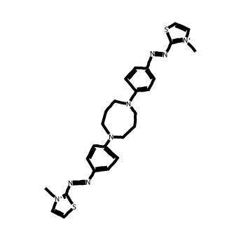 C[n+]1ccsc1/N=N/c1ccc(N2CCCN(c3ccc(/N=N/c4scc[n+]4C)cc3)CCC2)cc1